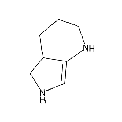 C1=C2NCCCC2CN1